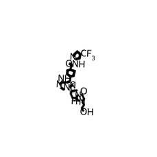 Nc1nccn2c([C@@H]3CC[C@H]4CN(CCO)CC(=O)N4C3)nc(-c3ccc(C(=O)Nc4cc(C(F)(F)F)ccn4)cc3)c12